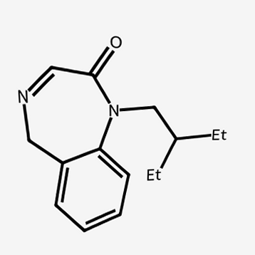 CCC(CC)CN1C(=O)C=NCc2ccccc21